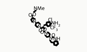 CNCCOC(=O)[C@@H]1CCN(C2CCN(C(=O)[C@@H](Cc3cc(Cl)c(N)c(C(F)(F)F)c3)OC(=O)N3CCC(N4CCc5ccccc5NC4=O)CC3)CC2)C1